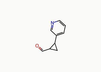 O=CC1CC1c1cccnc1